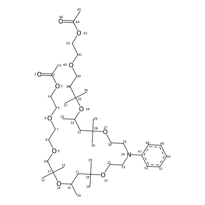 CC(=O)OCCOCCOCC(C)(C)OC(C)CC(C)(C)OCCN(CCOC(C)(C)CC(C)OC(C)(C)CCOCCOC(C)=O)c1ccccc1